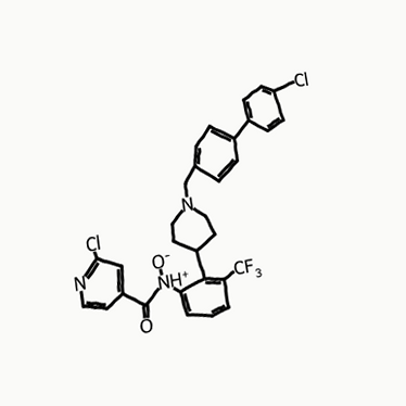 O=C(c1ccnc(Cl)c1)[NH+]([O-])c1cccc(C(F)(F)F)c1C1CCN(Cc2ccc(-c3ccc(Cl)cc3)cc2)CC1